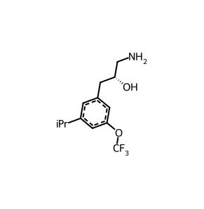 CC(C)c1cc(C[C@@H](O)CN)cc(OC(F)(F)F)c1